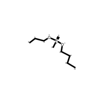 C=P(C)(OCCC)OCCCC